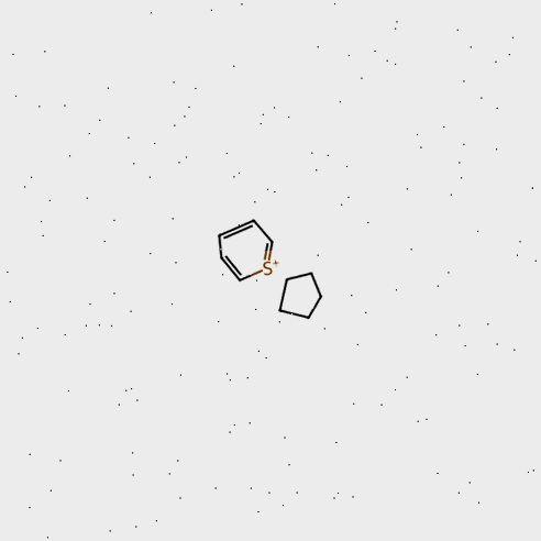 C1CCCC1.c1cc[s+]cc1